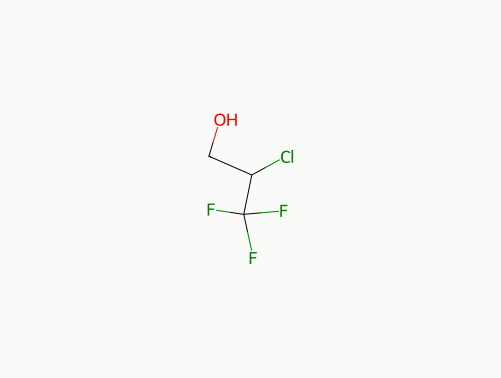 OCC(Cl)C(F)(F)F